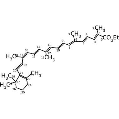 CCOC(=O)/C(C)=C/C=C/C(C)=C/C=C/C=C(C)/C=C/C=C(C)\C=C\C1=C(C)CCCC1(C)C